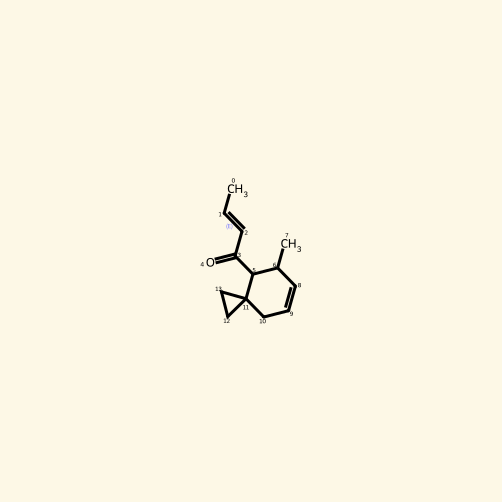 C/C=C/C(=O)C1C(C)C=CCC12CC2